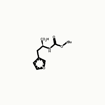 CC(C)(C)OC(=O)N[C@@H](Cc1ccoc1)C(=O)O